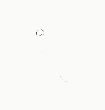 COCCOCCOCCOCCOCc1ccccc1C(C)C.OO